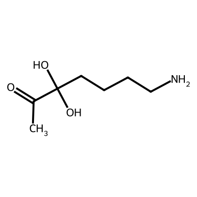 CC(=O)C(O)(O)CCCCN